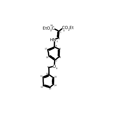 CCOC(=O)C(=CNc1ccc(OCc2ccccc2)cc1)C(=O)OCC